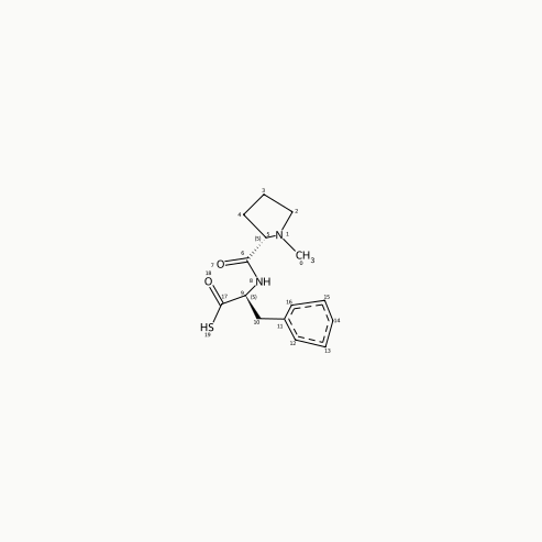 CN1CCC[C@H]1C(=O)N[C@@H](Cc1ccccc1)C(=O)S